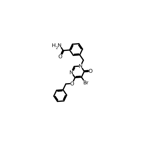 NC(=O)c1cccc(Cn2cnc(OCc3ccccc3)c(Br)c2=O)c1